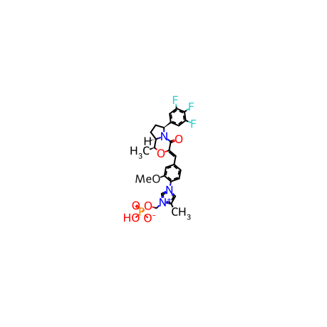 COc1cc(C=C2O[C@@H](C)[C@H]3CC[C@@H](c4cc(F)c(F)c(F)c4)N3C2=O)ccc1-n1cc(C)[n+](COP(=O)([O-])O)c1